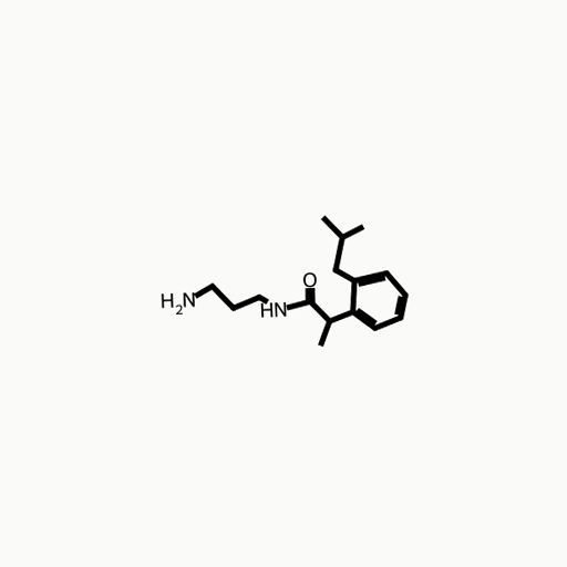 CC(C)Cc1ccccc1C(C)C(=O)NCCCN